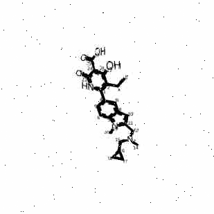 CCc1c(-c2ccc3c(c2)cc(CN(C)CC2CC2)n3C)[nH]c(=O)c(C(=O)O)c1O